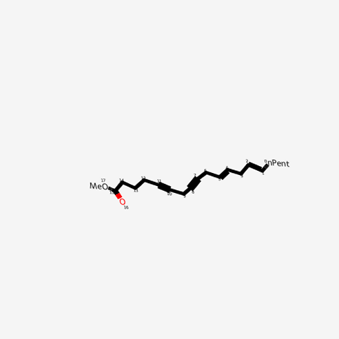 CCCCCC=CCC=CCC#CCC#CCCCC(=O)OC